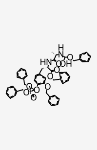 C[C@H](NC(O)OCc1ccccc1)C(=O)N[C@@H](Cc1ccc(OP(=O)(OCc2ccccc2)OCc2ccccc2)c(OCc2ccccc2)c1)C(=O)OCc1ccccc1